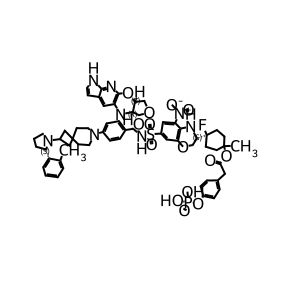 Cc1ccccc1[C@@H]1CCCN1C1CC2(CCN(c3ccc(C(=O)NS(=O)(=O)c4cc5c(c([N+](=O)[O-])c4)N[C@H](C4(F)CCC(C)(OC(=O)Cc6ccc(OP(=O)(O)O)cc6)CC4)CO5)c(N4c5cc6cc[nH]c6nc5O[C@@H]5COC[C@H]54)c3)CC2)C1